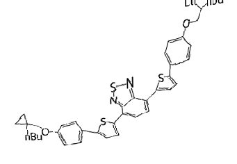 CCCCC(CC)COc1ccc(-c2ccc(-c3ccc(-c4ccc(-c5ccc(OCC6(CCCC)CC6)cc5)s4)c4nsnc34)s2)cc1